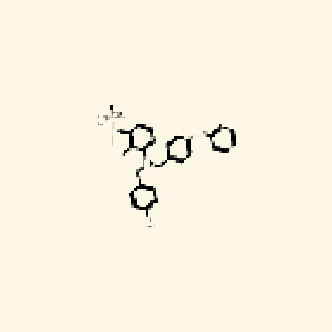 Cc1c(NS(C)(=O)=O)cccc1N(Cc1ccc(Br)cc1)Cc1ccc(Oc2ccccc2)cc1